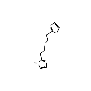 O=C(O)n1ccnc1CCOCCc1nccn1C(=O)O